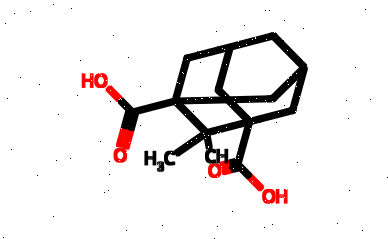 CC1(C)C2(C(=O)O)CC3CC(C2)CC1(C(=O)O)C3